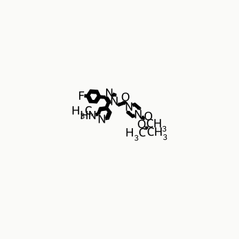 CNc1cc(-c2c(-c3ccc(F)cc3)ncn2CC(=O)N2CCN(C(=O)OC(C)(C)C)CC2)ccn1